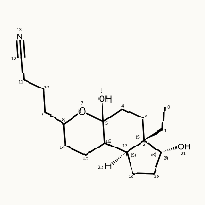 CC[C@]12CCC3(O)OC(CCCC#N)CCC3[C@@H]1CC[C@H]2O